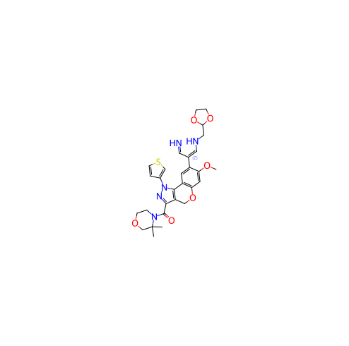 COc1cc2c(cc1/C(C=N)=C/NCC1OCCO1)-c1c(c(C(=O)N3CCOCC3(C)C)nn1-c1ccsc1)CO2